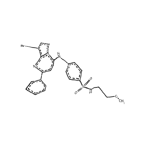 COCCNS(=O)(=O)c1ccc(Nc2cc(-c3ccccc3)nc3c(Br)cnn23)cc1